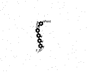 CCCCCc1ccc(C(F)(F)Oc2ccc(-c3ccc(-c4ccc(-c5ccc(OC(F)(F)F)c(F)c5)c(F)c4)c(F)c3)cc2)c(F)c1